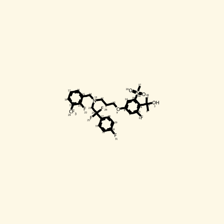 CC(C)(O)c1c(F)cc(OCCCN(Cc2cccc(C(F)(F)F)c2F)CC(F)(F)c2ccc(F)cc2)cc1S(C)(=O)=O